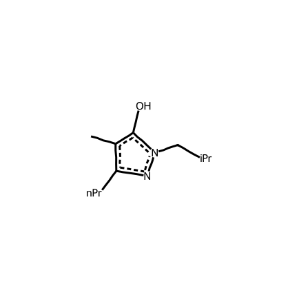 CCCc1nn(CC(C)C)c(O)c1C